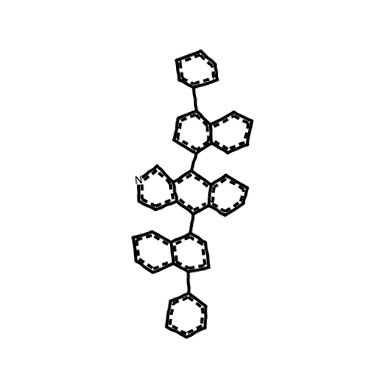 c1ccc(-c2ccc(-c3c4ccccc4c(-c4ccc(-c5ccccc5)c5ccccc45)c4cnccc34)c3ccccc23)cc1